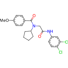 COc1ccc(C(=O)N(CC(=O)Nc2ccc(Cl)c(Cl)c2)C2CCCC2)cc1